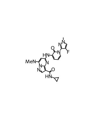 CNc1cc(Nc2cccn(-c3nn(C)cc3F)c2=O)nc2c(C(=O)NC3CC3)cnn12